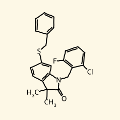 CC1(C)C(=O)N(Cc2c(F)cccc2Cl)c2cc(SCc3ccccc3)ccc21